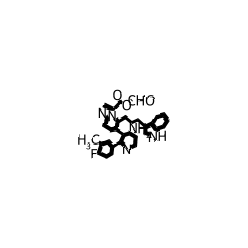 Cc1cc(-c2ncccc2-c2ccc3ncc(C(=O)OC=O)n3c2CC(N)Cc2c[nH]c3ccccc23)ccc1F